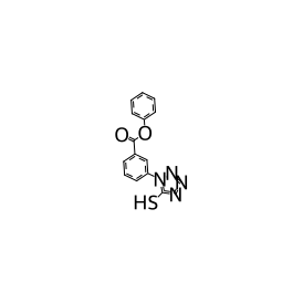 O=C(Oc1ccccc1)c1cccc(-n2nnnc2S)c1